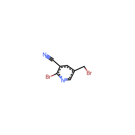 N#Cc1cc(CBr)cnc1Br